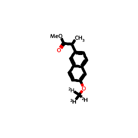 [2H]C([2H])([2H])Oc1ccc2cc(C(C)C(=O)OC)ccc2c1